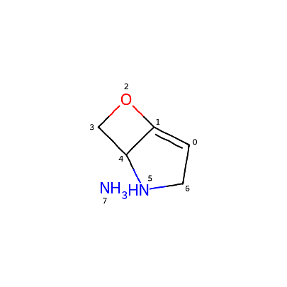 C1=C2OCC2NC1.N